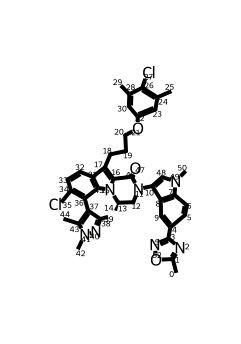 Cc1nc(-c2ccc3c(c2)c(N2C[C@@H](C)n4c(c(CCCOc5cc(C)c(Cl)c(C)c5)c5ccc(Cl)c(-c6c(C)nn(C)c6C)c54)C2=O)cn3C)no1